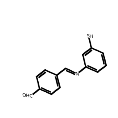 O=Cc1ccc(/C=N/c2cccc(S)c2)cc1